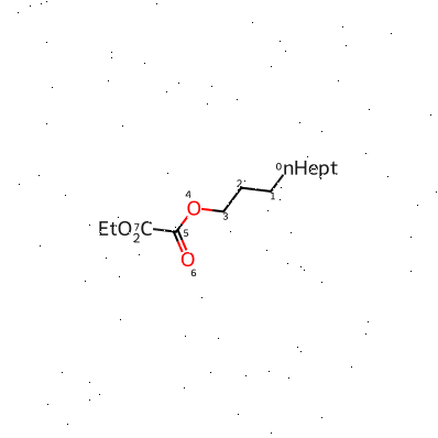 CCCCCCCCCCOC(=O)C(=O)OCC